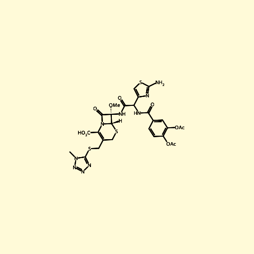 CO[C@@]1(NC(=O)C(NC(=O)c2ccc(OC(C)=O)c(OC(C)=O)c2)c2csc(N)n2)C(=O)N2C(C(=O)O)=C(CSc3nnnn3C)CS[C@H]21